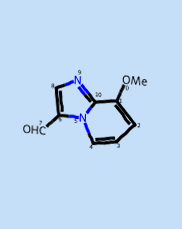 COc1cccn2c(C=O)cnc12